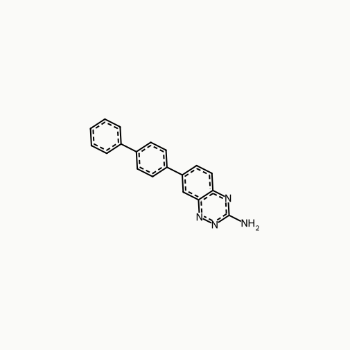 Nc1nnc2cc(-c3ccc(-c4ccccc4)cc3)ccc2n1